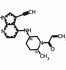 C#Cc1c[nH]c2nccc(N[C@@H]3CC[C@H](C)N(C(=O)C=C)C3)c12